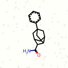 NC(=O)C1C2CC3CC(c4ccccc4)(C2)CC31